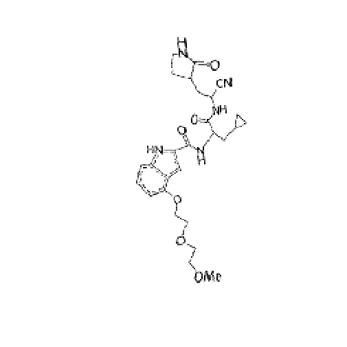 COCCOCCOc1cccc2[nH]c(C(=O)NC(CC3CC3)C(=O)NC(C#N)CC3CCNC3=O)cc12